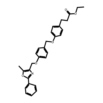 CCOC(=O)CCc1ccc(OCc2ccc(OCc3nc(-c4ccccc4)oc3C)cc2)cc1